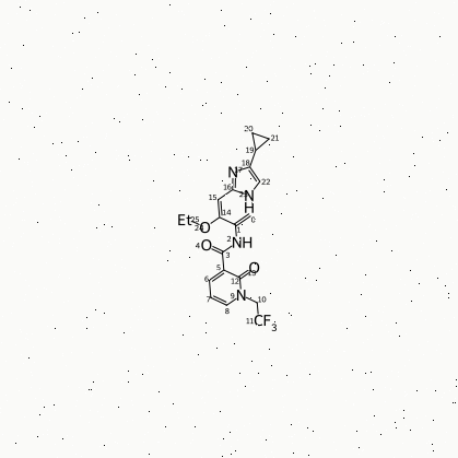 C=C(NC(=O)c1cccn(CC(F)(F)F)c1=O)/C(=C\c1nc(C2CC2)c[nH]1)OCC